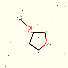 C1CCOC1.[2H]O